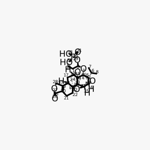 CCC(O[C@@H]1[C@@]2(C(C)C)O[C@H]2[C@@H]2O[C@]23[C@]12O[C@H]2C[C@H]1C2=C(CC[C@@]13C)C(=O)OC2)OP(=O)(O)O